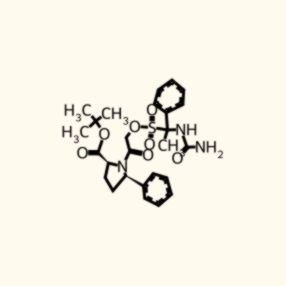 CC(C)(C)OC(=O)[C@@H]1CC[C@H](c2ccccc2)N1C(=O)COS(=O)(=O)C(C)(NC(N)=O)c1ccccc1